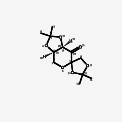 CC1(C)O[C@@H]2COC3(COC(C)(C)O3)C(=O)[C@@H]2O1